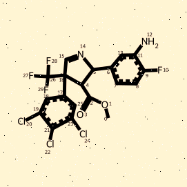 COC(=O)C1C(c2ccc(F)c(N)c2)N=CC1(c1cc(Cl)c(Cl)c(Cl)c1)C(F)(F)F